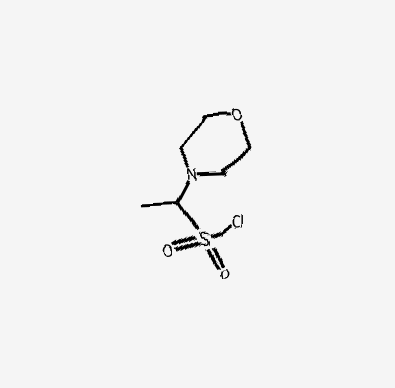 CC(N1CCOCC1)S(=O)(=O)Cl